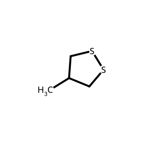 CC1CSSC1